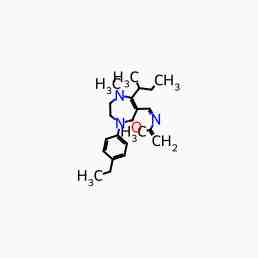 C=C(C)/N=C\C1=C(C(C)CC)N(C)CCN(c2ccc(CC)cc2)C1=O